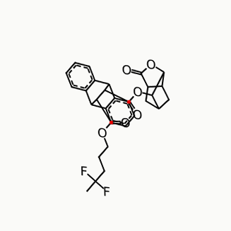 CC(F)(F)CCCOC(=O)C1C2c3ccccc3C(c3ccccc32)C1C(=O)OC1C2CC3C(=O)OC1C3C2